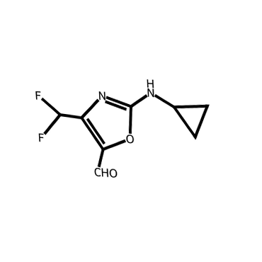 O=Cc1oc(NC2CC2)nc1C(F)F